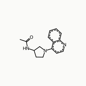 CC(=O)NC1CCN(c2ccnc3ccccc23)C1